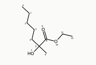 CCCCCC(C)(O)C(=O)OCC